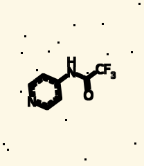 O=C(Nc1ccncc1)C(F)(F)F